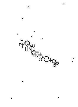 O=C(Nc1ccc2nn(CC(=O)N3CCN(C4CCS(=O)(=O)C4)CC3)cc2c1)c1cccc(C(F)(F)F)n1